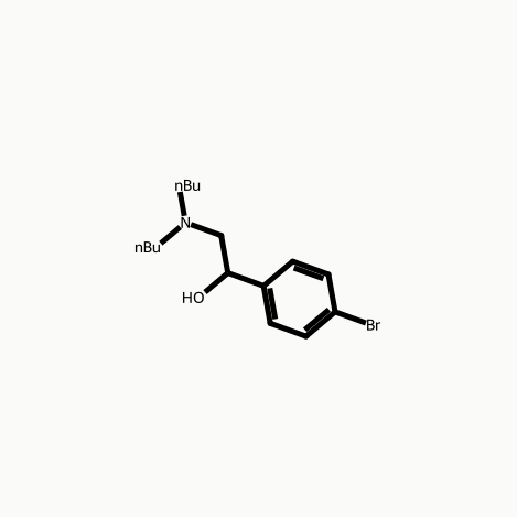 CCCCN(CCCC)CC(O)c1ccc(Br)cc1